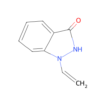 C=Cn1[nH]c(=O)c2ccccc21